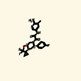 Cc1cc(NC(=O)C(=O)N2C[C@H](C)N(C3(C(F)(F)F)CC3)C[C@H]2c2ccc(F)cc2)cnc1N